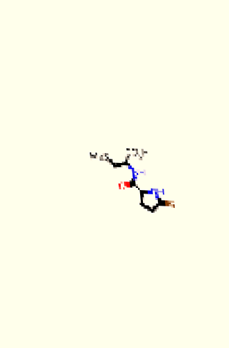 CSC[C@H](NC(=O)[C@@H]1CCC(=S)N1)C(=O)O